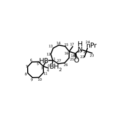 BC1(BC2(C)CCCCCCC2)CCCCC(C)(C(=O)NC(C)(C)CCC)CCC1